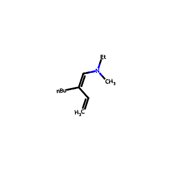 C=C/C(=C\N(C)CC)CCCC